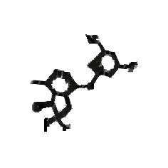 Cc1ccc(Oc2cc(F)cc(C#N)c2)c2c1C(=O)C(F)(F)C2